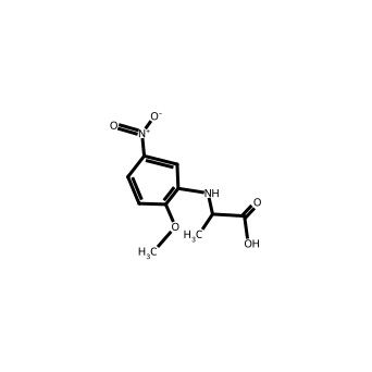 COc1ccc([N+](=O)[O-])cc1NC(C)C(=O)O